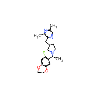 Cc1cnc(CC2CCN([C@@H](C)c3cc4c(cc3F)OCCO4)C2)c(C)n1